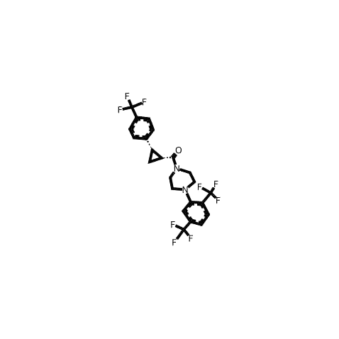 O=C([C@@H]1C[C@@H]1c1ccc(C(F)(F)F)cc1)N1CCN(c2cc(C(F)(F)F)ccc2C(F)(F)F)CC1